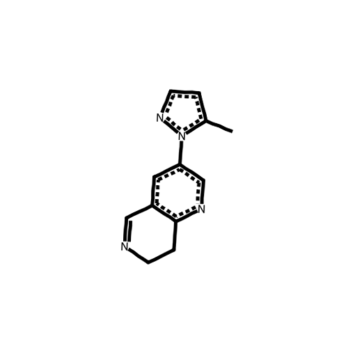 Cc1ccnn1-c1cnc2c(c1)C=NCC2